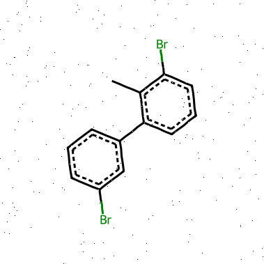 Cc1c(Br)cccc1-c1cccc(Br)c1